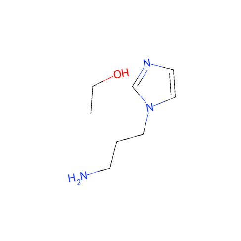 CCO.NCCCn1ccnc1